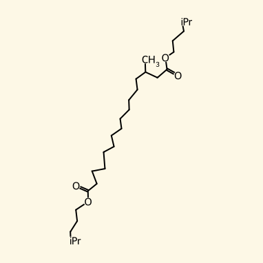 CC(C)CCCOC(=O)CCCCCCCCCCCCC(C)CC(=O)OCCCC(C)C